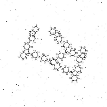 c1ccc2c(c1)oc1cc(-c3ccc4c5ccccc5n(-c5ccc(-c6ccc(-c7nc(-c8ccc(-n9c%10ccccc%10c%10ccc(-c%11ccc%12c(c%11)oc%11ccccc%11%12)cc%109)cc8)c8cc(-c9ccc(-n%10c%11ccccc%11c%11ccc(-c%12ccc%13c(c%12)oc%12ccccc%12%13)cc%11%10)cc9)ccc8n7)cc6)cc5)c4c3)ccc12